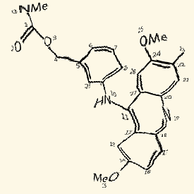 CNC(=O)OCc1cccc(Nc2c3cc(OC)ccc3nc3cc(C)c(OC)cc23)c1